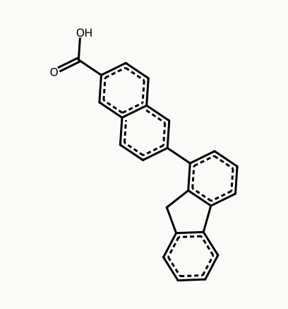 O=C(O)c1ccc2cc(-c3cccc4c3Cc3ccccc3-4)ccc2c1